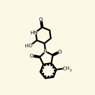 Cc1cccc2c1C(=O)N(C1CCC(=O)NC1O)C2=O